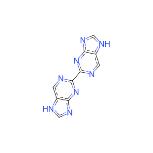 c1nc2nc(-c3ncc4[nH]cnc4n3)ncc2[nH]1